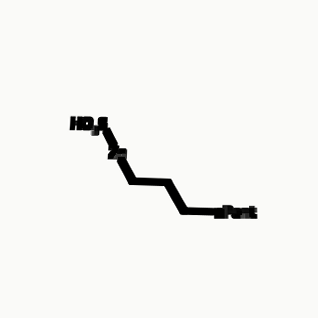 CCCCCCC[CH2][Zn][S](=O)(=O)O